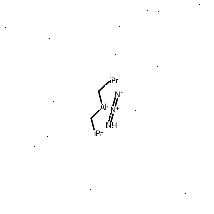 CC(C)[CH2][Al][CH2]C(C)C.[N-]=[N+]=N